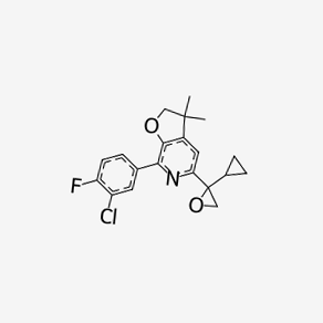 CC1(C)COc2c1cc(C1(C3CC3)CO1)nc2-c1ccc(F)c(Cl)c1